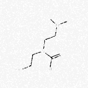 CC(C)N(C)CCN(CCO)C(=O)C(C)(C)C